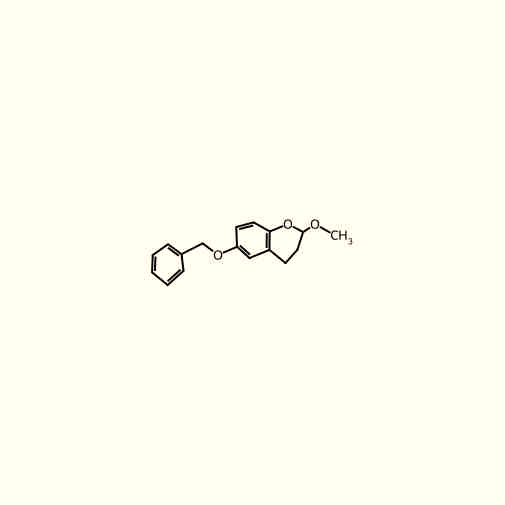 COC1CCc2cc(OCc3ccccc3)ccc2O1